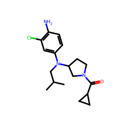 CC(C)CN(c1ccc(N)c(Cl)c1)C1CCN(C(=O)C2CC2)C1